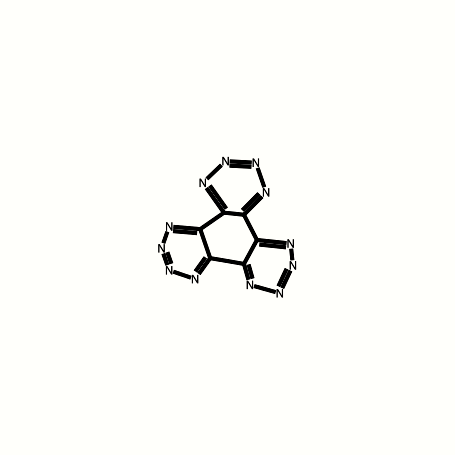 n1nnc2c(n1)c1nnnnc1c1nnnnc21